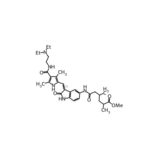 CCN(CC)CCNC(=O)c1c(C)[nH]c(/C=C2\C(=O)Nc3ccc(NC(=O)CC(C)CC(C)C(=O)OC)cc32)c1C